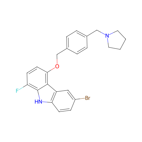 Fc1ccc(OCc2ccc(CN3CCCC3)cc2)c2c1[nH]c1ccc(Br)cc12